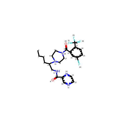 CCCCC(CNC(=O)c1cnccn1)N1CCN(C(=O)c2cc(F)ccc2C(F)(F)F)CC1